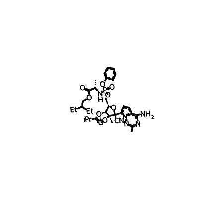 CCC(CC)COC(=O)[C@H](C)NP(=O)(OC[C@H]1O[C@@](C#N)(c2ccc3c(N)nc(C)nn23)[C@](C)(O)[C@@H]1OC(=O)C(C)C)Oc1ccccc1